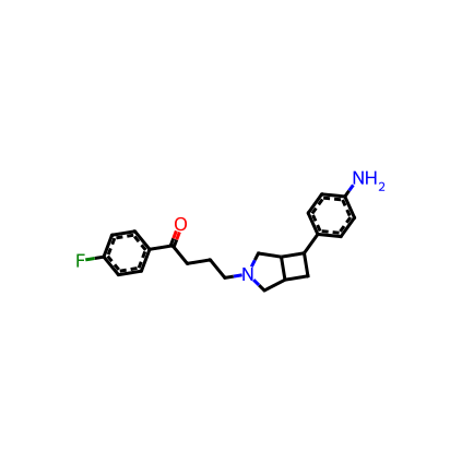 Nc1ccc(C2CC3CN(CCCC(=O)c4ccc(F)cc4)CC32)cc1